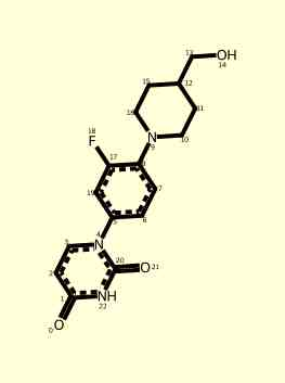 O=c1ccn(-c2ccc(N3CCC(CO)CC3)c(F)c2)c(=O)[nH]1